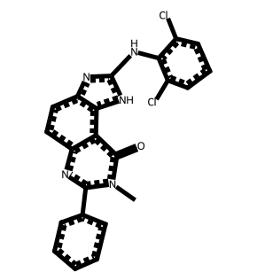 Cn1c(-c2ccccc2)nc2ccc3nc(Nc4c(Cl)cccc4Cl)[nH]c3c2c1=O